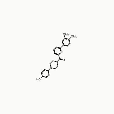 COc1ccc(-c2cccc(C(=O)N3CCN(c4ccc(O)cn4)CC3)n2)cc1OC